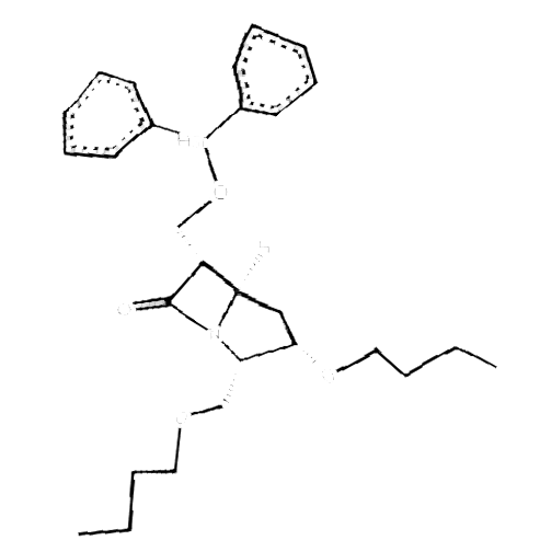 CCCCOC[C@H]1[C@@H](OCCCC)C[C@@H]2[C@@H](CO[SiH](c3ccccc3)c3ccccc3)C(=O)N21